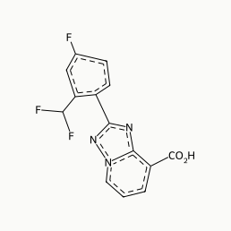 O=C(O)c1cccn2nc(-c3ccc(F)cc3C(F)F)nc12